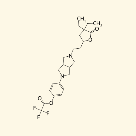 CCC1(CC)CC(CCN2CC3CN(c4ccc(OC(=O)C(F)(F)F)cc4)CC3C2)OC1=O